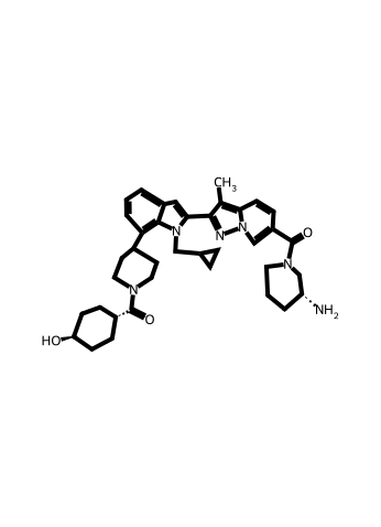 Cc1c(-c2cc3cccc(C4CCN(C(=O)[C@H]5CC[C@H](O)CC5)CC4)c3n2CC2CC2)nn2cc(C(=O)N3CCC[C@@H](N)C3)ccc12